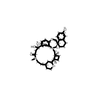 CN1CC[C@H]2CCO[C@@H](C2)[C@@H]2CC[C@H]2CN2C[C@@]3(CCCc4cc(Cl)ccc43)COc3ccc(cc32)[C@@](O)(C(=O)O)CC1=O